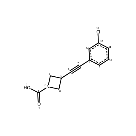 O=C(O)N1CC(C#Cc2cccc(Cl)c2)C1